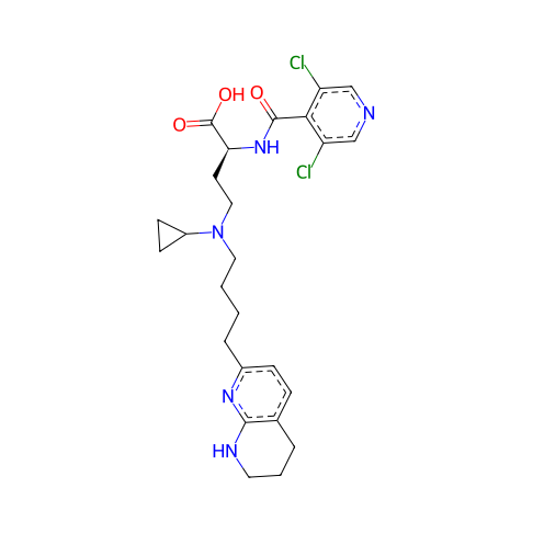 O=C(N[C@@H](CCN(CCCCc1ccc2c(n1)NCCC2)C1CC1)C(=O)O)c1c(Cl)cncc1Cl